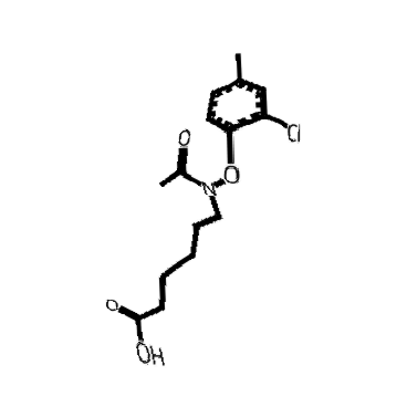 CC(=O)N(CCCCCC(=O)O)Oc1ccc(C)cc1Cl